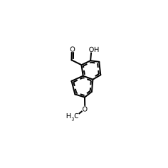 COc1ccc2c(C=O)c(O)ccc2c1